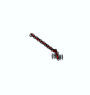 CC(=O)CCOCCOCCOCCOCCOCCOCCOCCOCCOCCOCCOCCOCCn1cc(CCC(=O)NC[C@H](O)[C@@H](O)[C@H](O)[C@H](O)CO)nn1